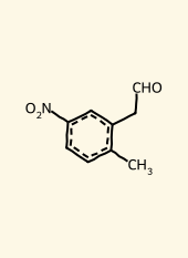 Cc1ccc([N+](=O)[O-])cc1CC=O